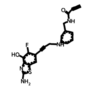 C#CC(=O)NCc1cccc(NCC#Cc2cc3sc(N)nc3c(O)c2F)c1